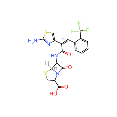 Nc1nc(/C(=C/c2ccccc2C(F)(F)F)C(=O)NC2C(=O)N3C(C(=O)O)CS[C@@H]23)cs1